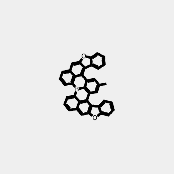 Cc1cc2c3c(c1)-c1c4c(cccc4cc4oc5ccccc5c14)B3c1cccc3cc4oc5ccccc5c4c-2c13